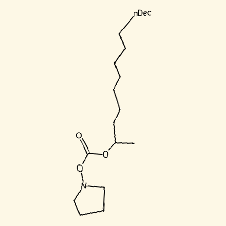 CCCCCCCCCCCCCCCCCC(C)OC(=O)ON1CCCC1